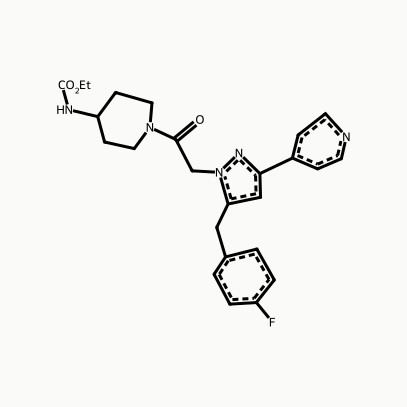 CCOC(=O)NC1CCN(C(=O)Cn2nc(-c3ccncc3)cc2Cc2ccc(F)cc2)CC1